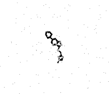 Cn1cnc(COc2nnc3cc(-c4ccccc4)cnn23)n1